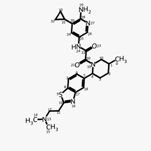 CC1CCC(c2ccc3sc(CCN(C)C)nc3c2)N(C(=O)C(=O)Nc2cnc(N)c(C3CC3)c2)C1